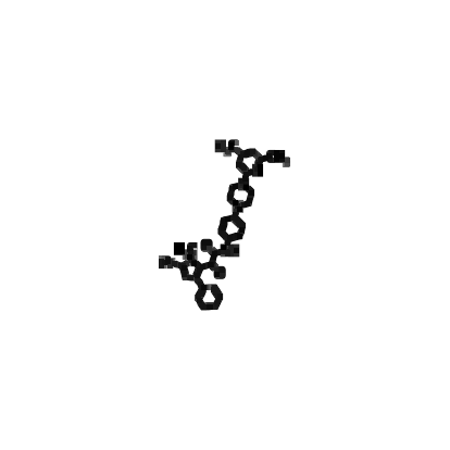 Cc1cc(C)nc(N2CCN(c3ccc(NC(=O)C(=O)c4c(-c5ccccc5)cc(C(C)C)n4C)cc3)CC2)c1